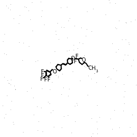 CCCC1CCC(C(F)(F)OC2CCC(/C=C/C3CCC(OCc4cc(F)c(C(F)(F)F)c(F)c4)CC3)CC2)CO1